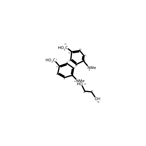 CNc1ccc(C(=O)O)cc1.CNc1ccc(C(=O)O)cc1.OCCO